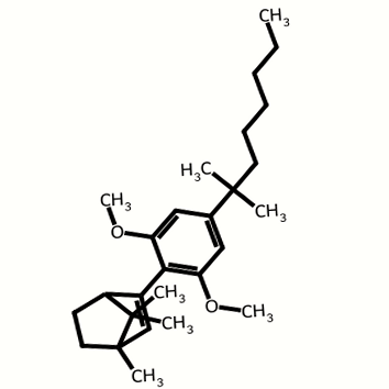 CCCCCCC(C)(C)c1cc(OC)c(C2=CC3(C)CCC2C3(C)C)c(OC)c1